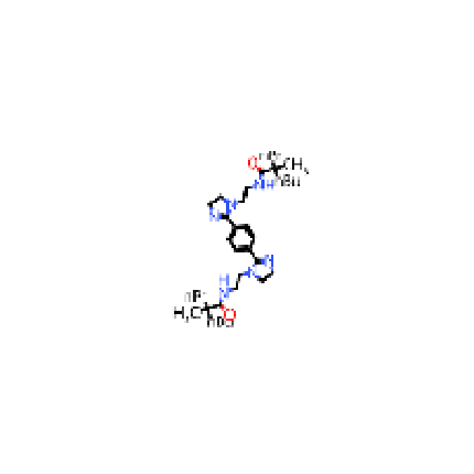 CCCCC(C)(CCC)C(=O)NCCN1CCN=C1c1ccc(C2=NCCN2CCNC(=O)C(C)(CCC)CCCC)cc1